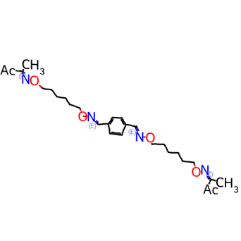 CC(=O)/C(C)=N\OCCCCCCO/N=C/c1ccc(/C=N/OCCCCCCO/N=C(\C)C(C)=O)cc1